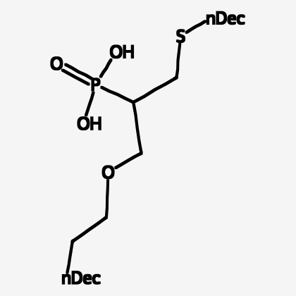 CCCCCCCCCCCCOCC(CSCCCCCCCCCC)P(=O)(O)O